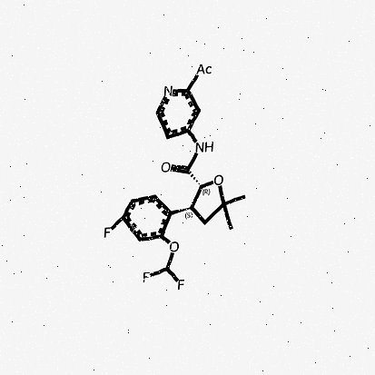 CC(=O)c1cc(NC(=O)[C@@H]2OC(C)(C)C[C@H]2c2ccc(F)cc2OC(F)F)ccn1